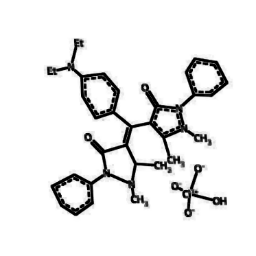 CCN(CC)c1ccc(C(=C2C(=O)N(c3ccccc3)N(C)C2C)c2c(C)n(C)n(-c3ccccc3)c2=O)cc1.[O-][Cl+3]([O-])([O-])O